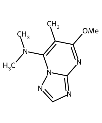 COc1nc2ncnn2c(N(C)C)c1C